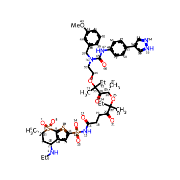 CCN[C@H]1C[C@H](C)S(=O)(=O)c2sc(S(=O)(=O)NC(=O)CCC(=O)C(C)(CC)O[C@@H](C)C(=O)C(C)(CC)OCCN(Cc3cccc(OC)c3)C(=O)Nc3ccc(-c4cn[nH]c4)cc3)cc21